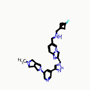 CN1Cc2cn(-c3cncc(-c4cn(Cc5cn6cc(CNCC78CC(F)(C7)C8)ccc6n5)nn4)c3)cc2C1